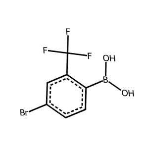 OB(O)c1ccc(Br)cc1C(F)(F)F